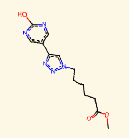 COC(=O)CCCCCn1cc(-c2cnc(O)nc2)nn1